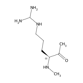 CN[C@@H](CCCNC(N)N)C(C)=O